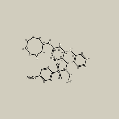 COc1ccc(S(=O)(=O)N(CC(C)C)C[C@@H](O)[C@@H](Cc2ccccc2)NC(=O)OC2CCCOCOC2)cc1